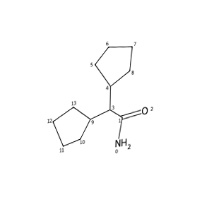 NC(=O)C(C1CCCC1)C1CCCC1